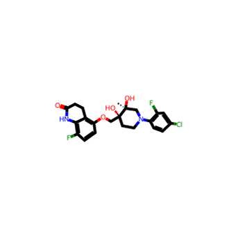 C[C@]1(O)CN(c2ccc(Cl)cc2F)CC[C@]1(O)COc1ccc(F)c2c1CCC(=O)N2